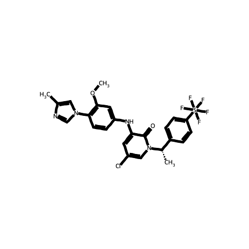 COc1cc(Nc2cc(Cl)cn([C@@H](C)c3ccc(S(F)(F)(F)(F)F)cc3)c2=O)ccc1-n1cnc(C)c1